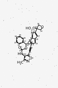 Cc1noc(C#CC2=NC3=NC(C4(C(=O)O)COC4)=CC3=C2)c1NC(=O)OC(C)c1ccccc1